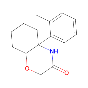 Cc1ccccc1C12CCCCC1OCC(=O)N2